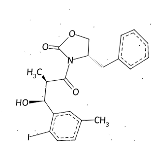 Cc1ccc(I)c([C@@H](O)[C@@H](C)C(=O)N2C(=O)OC[C@@H]2Cc2ccccc2)c1